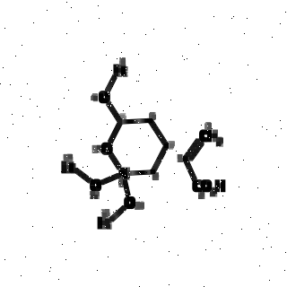 C=CC(=O)O.CCOC1CCC[Si](OCC)(OCC)O1